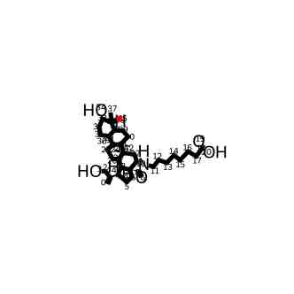 C=C(CO)[C@@H]1CC[C@]2(C(=O)NCCCCCCCC(=O)O)CC[C@]3(C)[C@H](CCC4[C@@]5(C)CC[C@H](O)C(C)(C)[C@@H]5CC[C@]43C)[C@@H]12